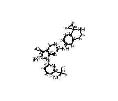 CC(C)n1c(=O)c2cnc(Nc3ccc4c(c3)CCNC43CC3)nc2n1-c1cccc(C(C)(C)C#N)n1